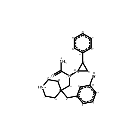 CC(=O)N(CC1(Cc2cccc(Br)c2)CCNCC1)[C@@H]1CC1c1ccccc1